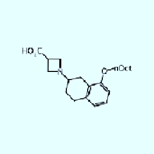 CCCCCCCCOc1cccc2c1CC(N1CC(C(=O)O)C1)CC2